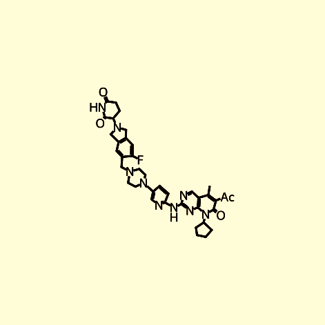 CC(=O)c1c(C)c2cnc(Nc3ccc(N4CCN(Cc5cc6c(cc5F)CN(C5CCC(=O)NC5=O)C6)CC4)cn3)nc2n(C2CCCC2)c1=O